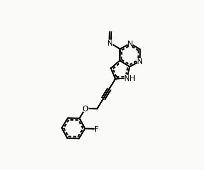 C=Nc1ncnc2[nH]c(C#CCOc3ccccc3F)cc12